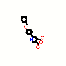 O=C1OC(=O)c2cc(-c3ccc(OCc4ccccc4)cc3)ncc21